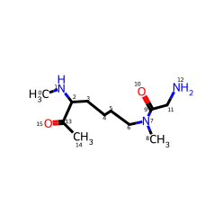 CNC(CCCCN(C)C(=O)CN)C(C)=O